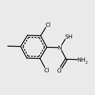 Cc1cc(Cl)c(N(S)C(N)=O)c(Cl)c1